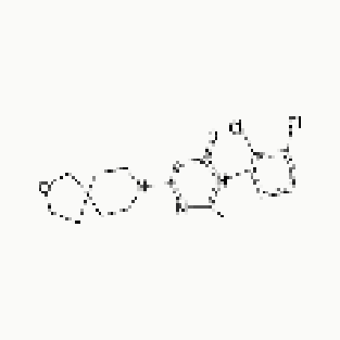 Cc1nc(N2CCC3(CCOC3)CC2)cc(=O)n1-c1cccc(Cl)c1Cl